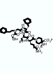 CC(C)C[C@@H](NC(=O)[C@@H](Cc1ccccc1)NC(=O)CN(CCc1ccccc1)C(=O)OC(C)(C)C)C(=O)N[C@H](CCCCN)C(=O)N1CCC(NC(=O)O)(C(=O)O)CC1